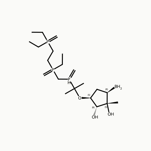 B[C@@H]1C[C@H](OC(C)(C)[PH](=C)CP(=C)(CC)CCP(=C)(CC)CC)[C@@H](O)[C@@]1(C)O